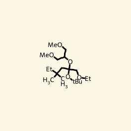 CCOCC(CC(C)(C)CC)(OC(COC)COC)OC(C)(C)C